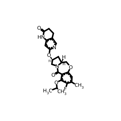 Cc1cc2c(c(OC(C)C)c1F)C(=O)N1C[C@@H](Oc3cc4c(cn3)CCC(=O)N4)C[C@@H]1CO2